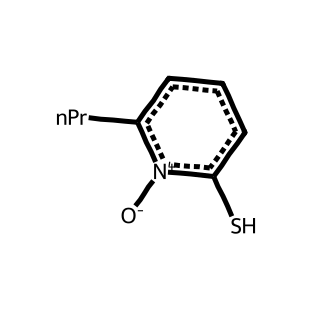 CCCc1cccc(S)[n+]1[O-]